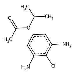 CC(=O)OC(C)C.Nc1cccc(N)c1Cl